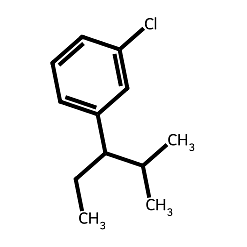 CCC(c1cccc(Cl)c1)C(C)C